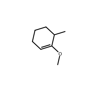 COC1=CCCCC1C